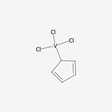 [Cl][V]([Cl])([Cl])[CH]1C=CC=C1